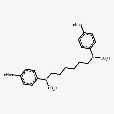 CCCCCCCCCc1ccc(N(CCCCCCN(C(=O)O)c2ccc(CCCCCCCCC)cc2)C(=O)O)cc1